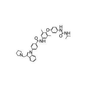 Cc1cc(NC(=O)c2ccc(-n3cc(CN4CCCC4)c4ccccc43)cc2)cc(C)c1Oc1ccc(NC(=O)NC(C)C)cc1